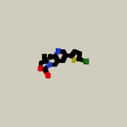 Cc1ncc(-c2ccc(Cl)s2)cc1CN1CCOC1=O